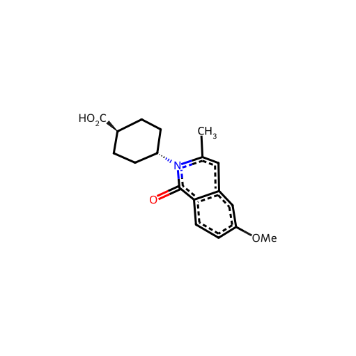 COc1ccc2c(=O)n([C@H]3CC[C@H](C(=O)O)CC3)c(C)cc2c1